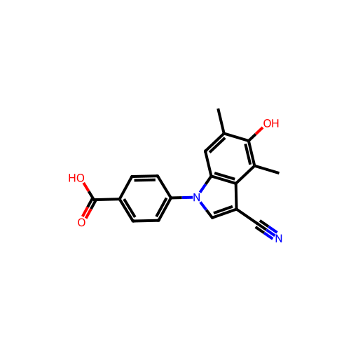 Cc1cc2c(c(C#N)cn2-c2ccc(C(=O)O)cc2)c(C)c1O